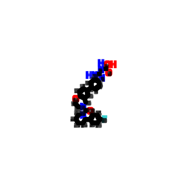 O=C(O)Nc1nc2ccc(-c3ccc4c(c3)CN(C(=O)N3CCCCC3c3ccc(F)cc3)CCO4)cc2[nH]1